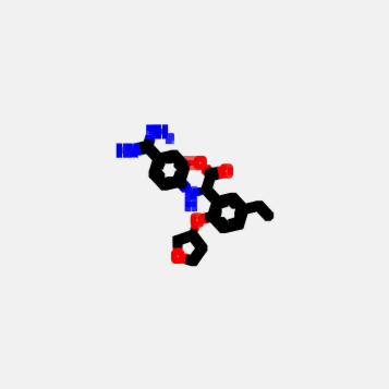 CCc1ccc(O[C@H]2CCOC2)c([C@@H](Nc2ccc(C(=N)N)cc2)C(=O)O)c1